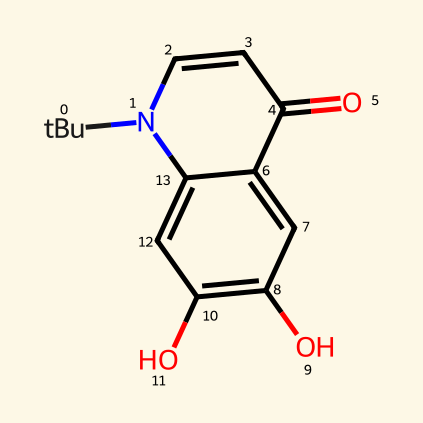 CC(C)(C)n1ccc(=O)c2cc(O)c(O)cc21